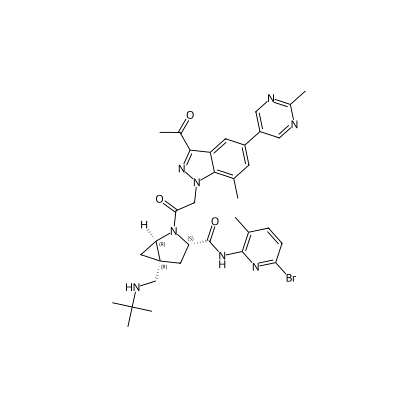 CC(=O)c1nn(CC(=O)N2[C@H](C(=O)Nc3nc(Br)ccc3C)C[C@@]3(CNC(C)(C)C)C[C@@H]23)c2c(C)cc(-c3cnc(C)nc3)cc12